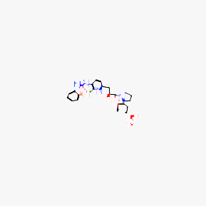 COC(=O)[C@H]1CC[C@H](OC(F)(C(=O)Cc2ccc(Nc3nc4ccccc4o3)c(Cl)n2)N2CCCC2)CC1